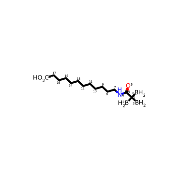 BC(B)(B)C(=O)NCCCCCCCCCCCC(=O)O